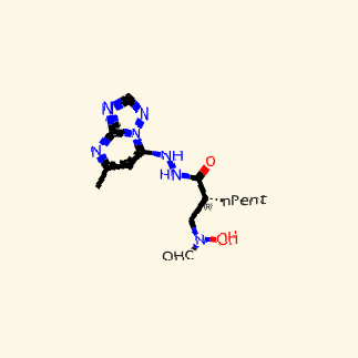 CCCCC[C@H](CN(O)C=O)C(=O)NNc1cc(C)nc2ncnn12